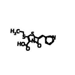 CCSC1=C(C(=O)O)N2C(=O)C(=Cc3cccnc3)C2S1